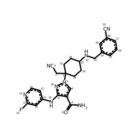 N#CCC1(n2cc(C(N)=O)c(Nc3ccnc(F)c3)n2)CCC(NCc2cccc(C#N)c2)CC1